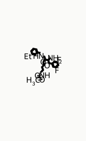 CCc1cccc(CNCC(OC(=O)CCCNS(C)(=O)=O)C(N)Cc2cc(F)cc(F)c2)c1